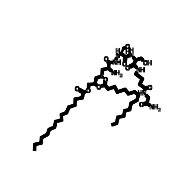 CCCCCCCCCCCCCCCC(=O)OCC(CSCC(N)C(=O)NN[C@@H](CO)C(=O)NC(CO)C(=O)NCCCC(=O)NCC(N)=O)OC(=O)CCCCCCCCCCCCCCC